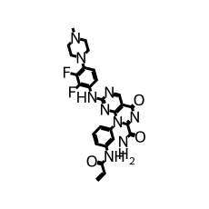 C=CC(=O)Nc1cccc(-n2c(C(N)=O)nc(=O)c3cnc(Nc4ccc(N5CCN(C)CC5)c(F)c4F)nc32)c1